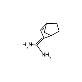 NC(N)=C1C=C2CCC1C2